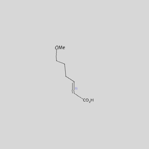 COCCC/C=C/C(=O)O